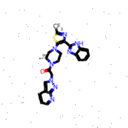 C[C@@H]1CN(c2sc(C(F)(F)F)nc2-c2nc3ccccc3[nH]2)CCN1C(=O)Cn1cc2cccnc2n1